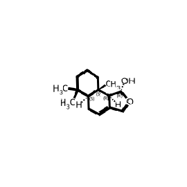 CC1(C)CCC[C@]2(C)[C@@H]3C(=CC[C@@H]12)CO[C@H]3O